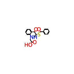 CC(SC(=O)c1ccccc1)C(=O)c1ccccc1NCC(=O)O